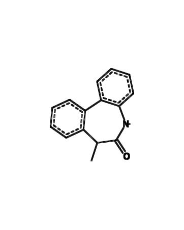 CC1C(=O)[N]c2ccccc2-c2ccccc21